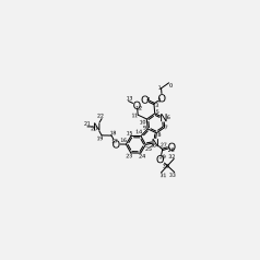 CCOC(=O)c1ncc2c(c1COC)c1cc(OCCN(C)C)ccc1n2C(=O)OC(C)(C)C